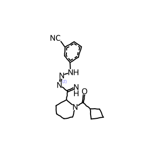 N#Cc1cccc(N/N=N\C(=N)C2CCCCN2C(=O)C2CCC2)c1